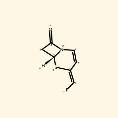 O=C1C[C@H]2SC(=CI)C=CN12